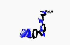 CN(CCCNc1ccc2ncc(-c3ccc(CN)cc3)n2n1)C(=O)O